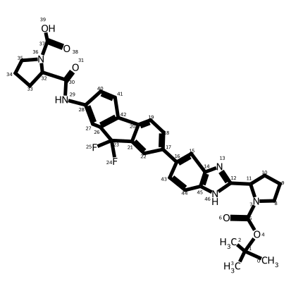 CC(C)(C)OC(=O)N1CCCC1c1nc2cc(-c3ccc4c(c3)C(F)(F)c3cc(NC(=O)C5CCCN5C(=O)O)ccc3-4)ccc2[nH]1